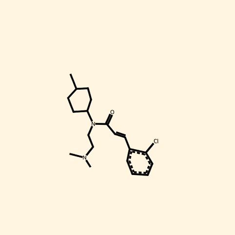 CC1CCC(N(CCN(C)C)C(=O)C=Cc2ccccc2Cl)CC1